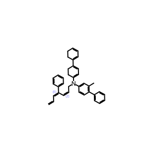 C=C/C=C(\C=C/CN(C1=CC=C(C2=CC=CCC2)CC1)c1ccc(-c2ccccc2)c(C)c1)c1ccccc1